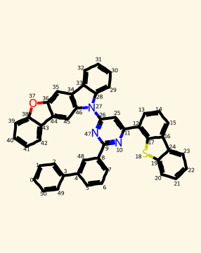 c1ccc(-c2cccc(-c3nc(-c4cccc5c4sc4ccccc45)cc(-n4c5ccccc5c5cc6oc7ccccc7c6cc54)n3)c2)cc1